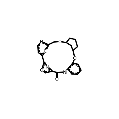 O=C1Nc2ccccc2OC2CCCC(CCc3cc(ccn3)-c3nc1co3)C2